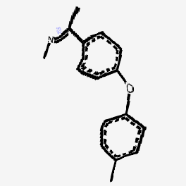 C/N=C(/C)c1ccc(Oc2ccc(C)cc2)cc1